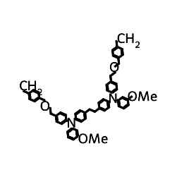 C=Cc1ccc(COCCc2ccc(N(c3ccc(CCc4ccc(N(c5ccc(CCOCc6ccc(C=C)cc6)cc5)c5cccc(OC)c5)cc4)cc3)c3cccc(OC)c3)cc2)cc1